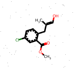 COC(=O)c1cc(Cl)ccc1CC(C)=CO